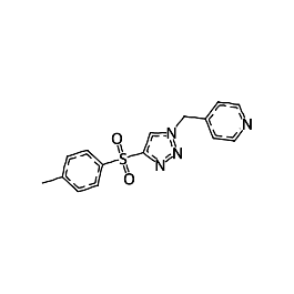 Cc1ccc(S(=O)(=O)c2cn(Cc3ccncc3)nn2)cc1